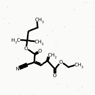 C=C(/C=C(/C#N)C(=O)OC(C)(C)CCC)C(=O)OCC